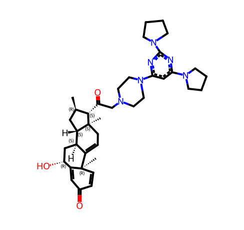 C[C@@H]1C[C@H]2[C@@H]3C[C@@H](O)C4=CC(=O)C=C[C@]4(C)C3=CC[C@]2(C)[C@H]1C(=O)CN1CCN(c2cc(N3CCCC3)nc(N3CCCC3)n2)CC1